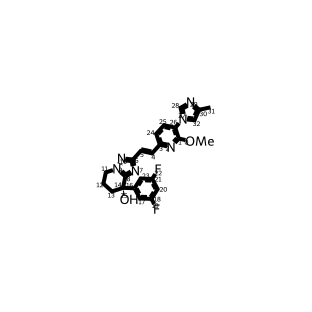 COc1nc(/C=C/c2nc3n(n2)CCC[C@]3(O)c2cc(F)cc(F)c2)ccc1-n1cnc(C)c1